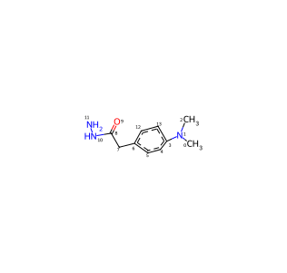 CN(C)c1ccc(CC(=O)NN)cc1